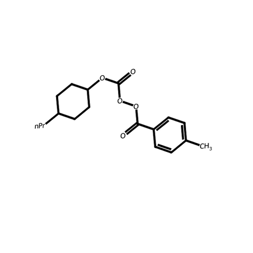 CCCC1CCC(OC(=O)OOC(=O)c2ccc(C)cc2)CC1